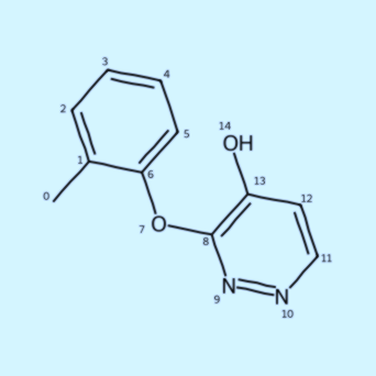 Cc1ccccc1Oc1nnccc1O